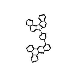 c1cc(-c2ccc(-n3c4ccc5ccccc5c4c4c5ccccc5ccc43)cc2)c2cc3c4ccccc4c4ccccc4c3cc2c1